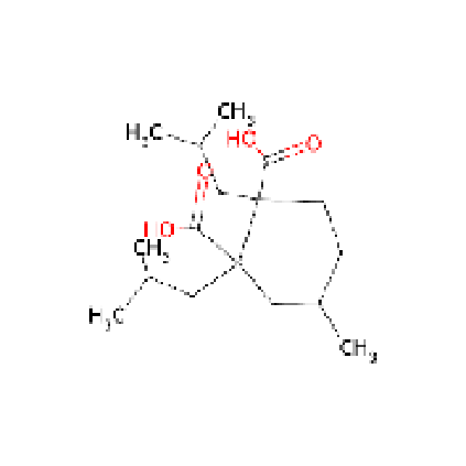 CC(C)CC1(C(=O)O)CCC(C)CC1(CC(C)C)C(=O)O